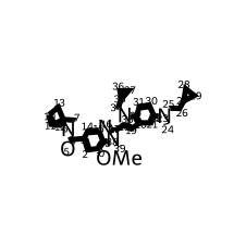 COc1cc(C(=O)N2CC34CC(CC23)C4)cc2nc(-c3cc4cc(N(C)CCC5CC5)ccc4n3CC3CC3)n(C)c12